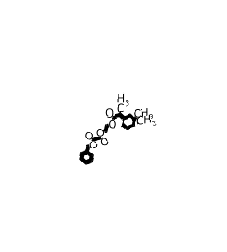 C[C@H](C(=O)OCCOC(=O)C(=O)OCc1ccccc1)[C@@H]1CCCC(C)(C)C1